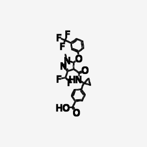 CN1N=C(C(F)F)C(C(=O)NC2(c3ccc(C(=O)O)cc3)CC2)C1Oc1cccc(C(F)(F)F)c1